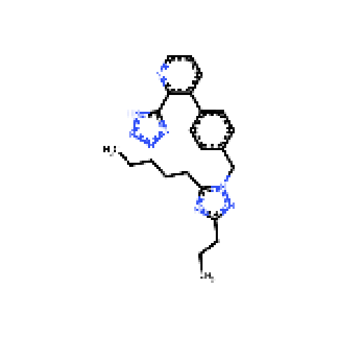 CCCCCc1nc(CCC)nn1Cc1ccc(-c2cccnc2-c2nnn[nH]2)cc1